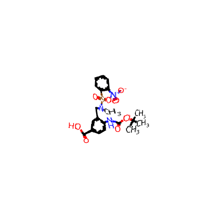 CN(Cc1cc(C(=O)O)ccc1NC(=O)OC(C)(C)C)S(=O)(=O)c1ccccc1[N+](=O)[O-]